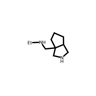 CCNCC12CCCC1CNC2